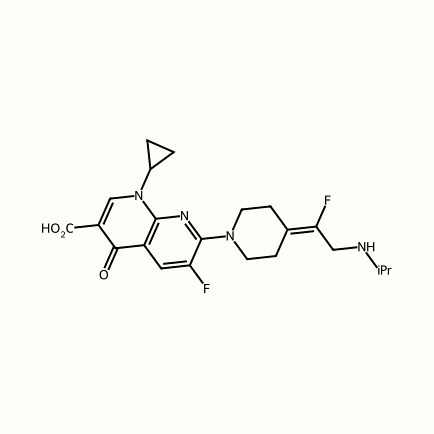 CC(C)NCC(F)=C1CCN(c2nc3c(cc2F)c(=O)c(C(=O)O)cn3C2CC2)CC1